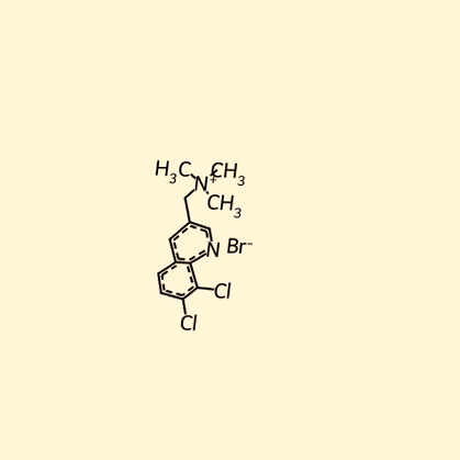 C[N+](C)(C)Cc1cnc2c(Cl)c(Cl)ccc2c1.[Br-]